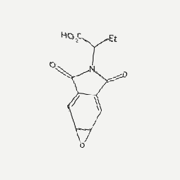 CCC(C(=O)O)N1C(=O)C2=CC3OC3C=C2C1=O